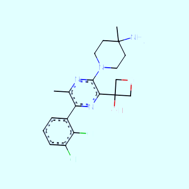 Cc1nc(N2CCC(C)(N)CC2)c(C2(O)COC2)nc1-c1cccc(Cl)c1Cl